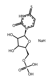 O=c1[nH]c(=S)ccn1[C@H]1O[C@@H](COP(=O)(O)O)C(O)C1O.[NaH]